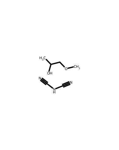 COCC(C)O.N#CNC#N